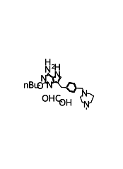 CCCCOc1nc(N)c2[nH]cc(Cc3ccc(CN4CCCN(C)CC4)cc3)c2n1.O=CO